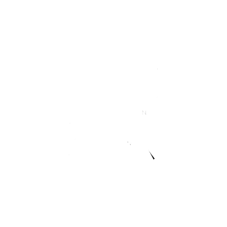 COC(=O)C1CCN([C@H](C)c2cccc(CO)n2)CC1